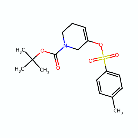 Cc1ccc(S(=O)(=O)OC2=CCCN(C(=O)OC(C)(C)C)C2)cc1